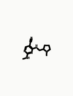 CNc1ncc(C#N)c(NCC2CCCN2C)n1